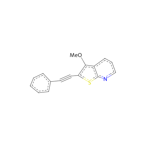 COc1c(C#Cc2ccccc2)sc2ncccc12